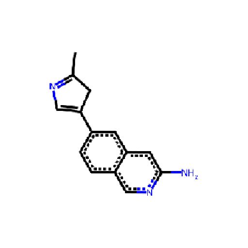 CC1=NC=C(c2ccc3cnc(N)cc3c2)C1